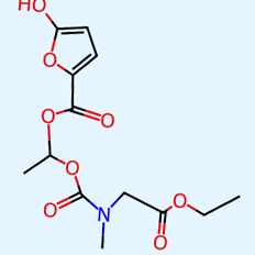 CCOC(=O)CN(C)C(=O)OC(C)OC(=O)c1ccc(O)o1